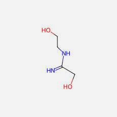 N=C(CO)NCCO